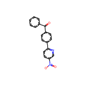 O=C(c1ccccc1)c1ccc(-c2ccc([N+](=O)[O-])cn2)cc1